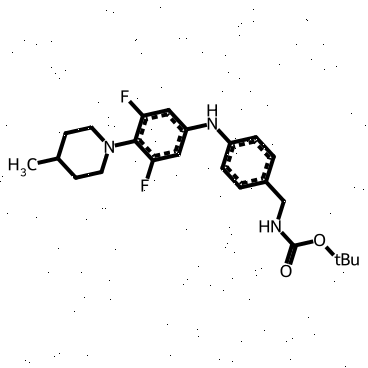 CC1CCN(c2c(F)cc(Nc3ccc(CNC(=O)OC(C)(C)C)cc3)cc2F)CC1